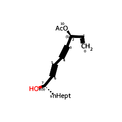 C=C[C@@H](C#CC#C[C@@H](O)CCCCCCC)OC(C)=O